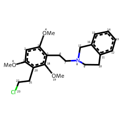 COc1cc(OC)c(CCN2CCc3ccccc3C2)c(OC)c1CCCl